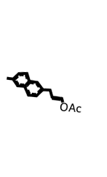 CC(=O)OC=CCc1ccc2cc(C)ccc2c1